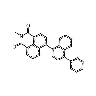 CN1C(=O)c2cccc3c(-c4ccc(-c5ccccc5)c5ccccc45)ccc(c23)C1=O